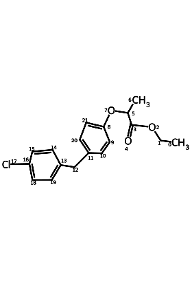 CCOC(=O)C(C)Oc1ccc(Cc2ccc(Cl)cc2)cc1